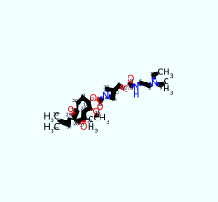 CCN(CC)CCNC(=O)OCC1CN(C(=O)O[C@@H]2CC[C@]3(CO3)[C@@H]([C@@]3(C)O[C@@H]3CC=C(C)C)[C@@H]2OC)C1